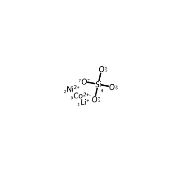 [Co+2].[Li+].[Ni+2].[O-][Si]([O-])([O-])[O-]